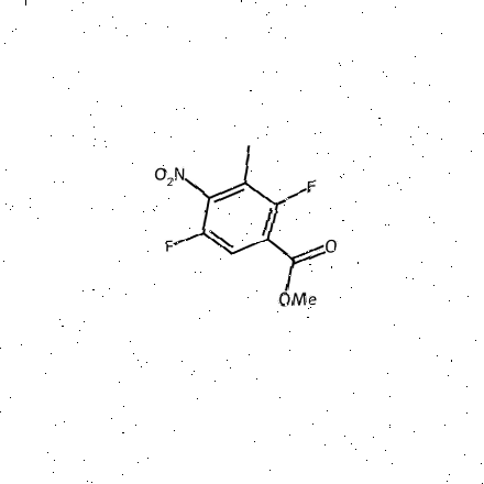 COC(=O)c1cc(F)c([N+](=O)[O-])c(C)c1F